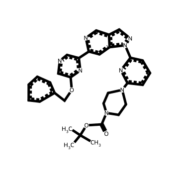 CC(C)(C)OC(=O)N1CCN(c2cccc(-n3ncc4cnc(-c5cncc(OCc6ccccc6)n5)cc43)n2)CC1